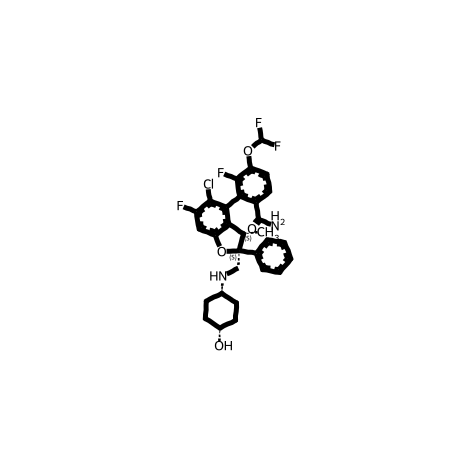 C[C@H]1c2c(cc(F)c(Cl)c2-c2c(C(N)=O)ccc(OC(F)F)c2F)O[C@]1(CN[C@H]1CC[C@@H](O)CC1)c1ccccc1